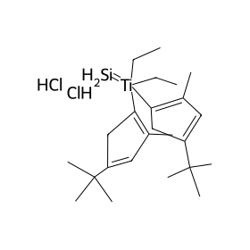 C[CH2][Ti](=[SiH2])([CH2]C)([C]1=C(C)C=C(C(C)(C)C)C1)[C]1=C(C)C=C(C(C)(C)C)C1.Cl.Cl